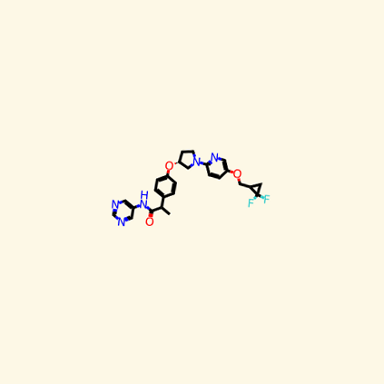 CC(C(=O)Nc1cncnc1)c1ccc(O[C@@H]2CCN(c3ccc(OCC4CC4(F)F)cn3)C2)cc1